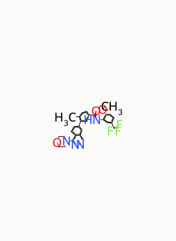 COc1ccc(C(F)(F)F)cc1NC(=O)c1ccc(C)c(-c2ccc3c(N4CCOCC4)nncc3c2)c1